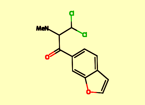 CNC(C(=O)c1ccc2ccoc2c1)C(Cl)Cl